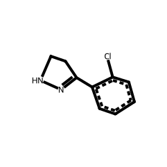 Clc1ccccc1C1=NNCC1